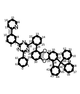 c1ccc(-c2nc(-c3cccc(-c4ccccn4)c3)nc(-c3ccccc3-c3cccc4c3Oc3ccc5c(c3O4)-c3ccccc3C5(c3ccccc3)c3ccccc3)n2)cc1